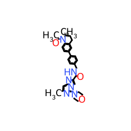 CC(=O)N1c2ccc(-c3ccc(CNC(=O)c4cn5c(N6CCOCC6)nc(C)cc5n4)cc3)cc2CC[C@@H]1C